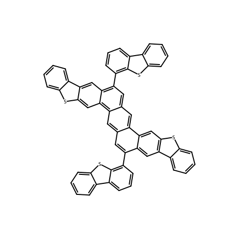 c1ccc2c(c1)sc1cc3c(cc12)c(-c1cccc2c1sc1ccccc12)cc1cc2c(cc(-c4cccc5c4sc4ccccc45)c4cc5c(cc42)sc2ccccc25)cc13